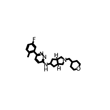 Cc1ccc(F)cc1-c1ccc(NC2C[C@@H]3CN(CC4CCOCC4)C[C@@H]3C2)nn1